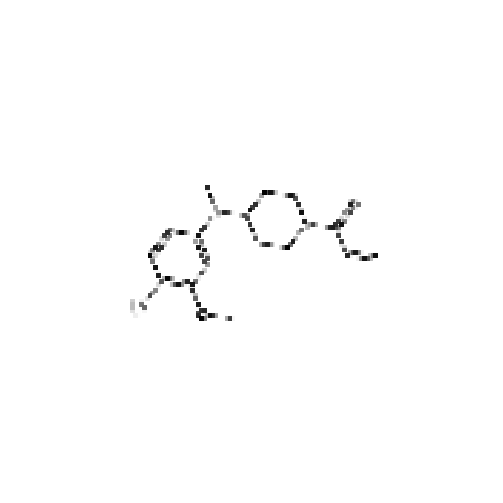 C=CC(=O)N1CCC(N(C)c2ccc(N)c(OC)c2)CC1